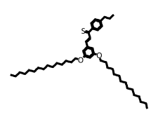 CCCCCCCCCCCCCCCOc1cc(C=CC(=S)c2ccc(CCC)cc2)cc(OCCCCCCCCCCCCCCC)c1